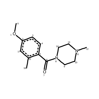 COc1ccc(C(=O)N2CCN(C)CC2)c(C)c1